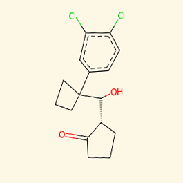 O=C1CCC[C@H]1C(O)C1(c2ccc(Cl)c(Cl)c2)CCC1